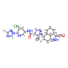 Cc1ncn(-c2ncc(NC(=O)c3cnn(-c4ccc5[nH]c(=C=O)c6cccc4c56)c3C(F)(F)F)cc2Cl)n1